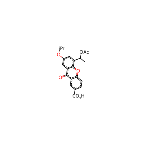 CC(=O)OC(C)c1cc(OC(C)C)cc2c(=O)c3cc(C(=O)O)ccc3oc12